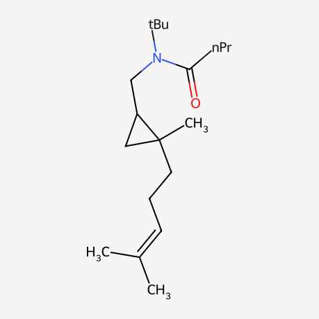 CCCC(=O)N(CC1CC1(C)CCC=C(C)C)C(C)(C)C